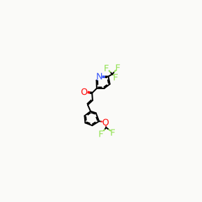 O=C(/C=C/c1cccc(OC(F)F)c1)c1ccc(C(F)(F)F)nc1